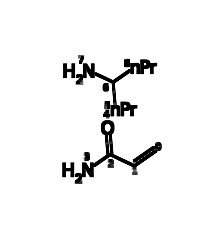 C=CC(N)=O.CCCC(N)CCC